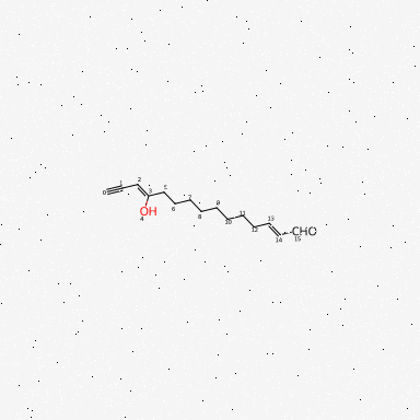 C#CC=C(O)CCCCCCCC/C=C/C=O